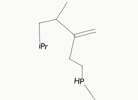 C=C(CCPC)C(C)CC(C)C